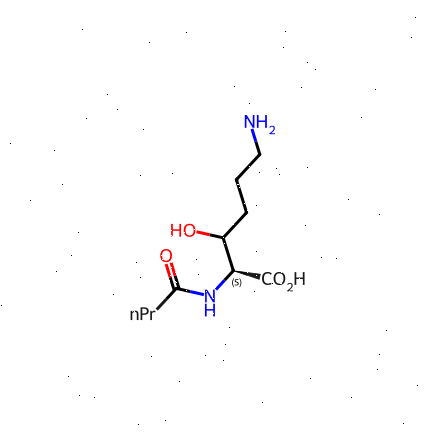 CCCC(=O)N[C@H](C(=O)O)C(O)CCCN